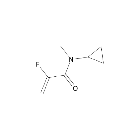 C=C(F)C(=O)N(C)C1CC1